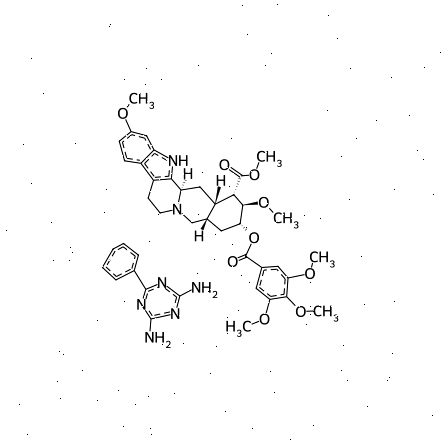 COC(=O)[C@H]1[C@H]2C[C@@H]3c4[nH]c5cc(OC)ccc5c4CCN3C[C@H]2C[C@@H](OC(=O)c2cc(OC)c(OC)c(OC)c2)[C@@H]1OC.Nc1nc(N)nc(-c2ccccc2)n1